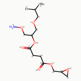 CCCCC(CC)COCC(CON)OC(=O)CCC(=O)OCC1CO1